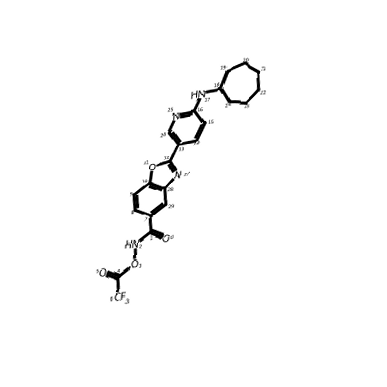 O=C(NOC(=O)C(F)(F)F)c1ccc2oc(-c3ccc(NC4CCCCCC4)nc3)nc2c1